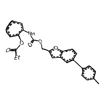 CCC(=O)Oc1ccccc1NC(=O)OCc1cc2cc(-c3ccc(C)cc3)ccc2o1